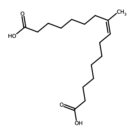 CC(=CCCCCCCC(=O)O)CCCCCCC(=O)O